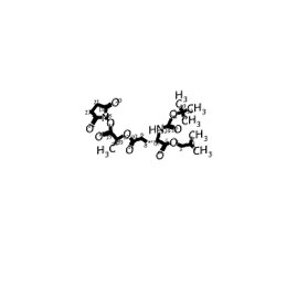 CC(C)COC(=O)[C@H](CCC(=O)O[C@@H](C)C(=O)ON1C(=O)CCC1=O)NC(=O)OC(C)(C)C